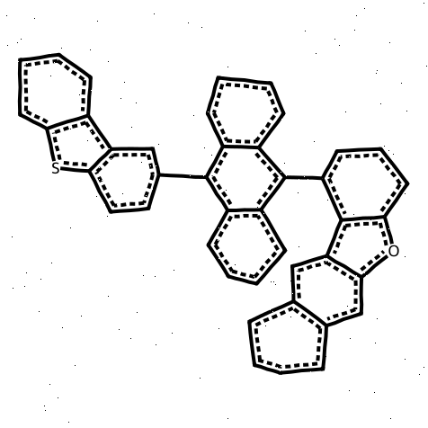 c1ccc2cc3c(cc2c1)oc1cccc(-c2c4ccccc4c(-c4ccc5sc6ccccc6c5c4)c4ccccc24)c13